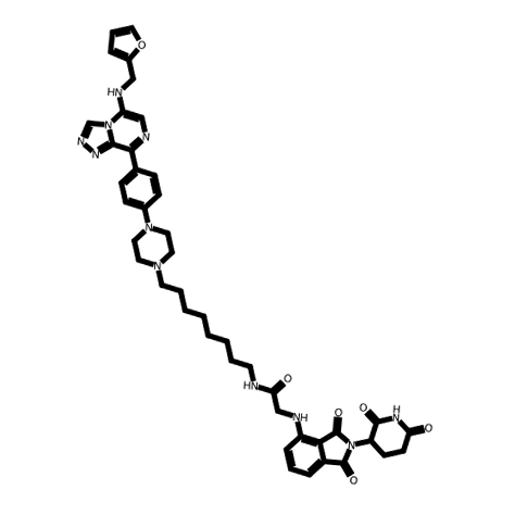 O=C(CNc1cccc2c1C(=O)N(C1CCC(=O)NC1=O)C2=O)NCCCCCCCCN1CCN(c2ccc(-c3ncc(NCc4ccco4)n4cnnc34)cc2)CC1